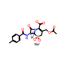 CC(=O)OCC1=C(C(=O)[O-])N2C(=O)[C@H](NC(=O)c3ccc(C)cc3)[C@@H]2S(=O)(=O)C1.[Na+]